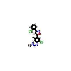 CCN(C)/C=N\c1cc(C)c(C2CC(c3ccccc3Cl)=NO2)cc1Cl